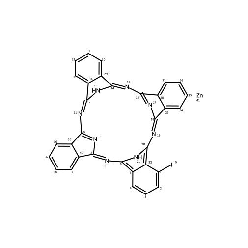 Ic1cccc2c3nc4nc(nc5[nH]c(nc6nc(nc([nH]3)c12)-c1ccccc1-6)c1ccccc51)-c1ccccc1-4.[Zn]